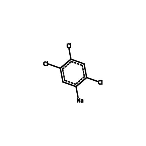 [Na][c]1cc(Cl)c(Cl)cc1Cl